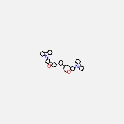 c1coc2ccc(-n3c4ccccc4c4ccccc43)cc2ccc(-c2cccc(-c3ccc4oc5ccc(-n6c7ccccc7c7ccccc76)cc5c4c3)c2)c1